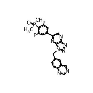 CP(C)(=O)c1ccc(-c2cnc3nnn(Cc4ccc5ncncc5c4)c3n2)cc1F